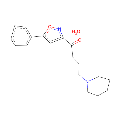 O.O=C(CCCN1CCCCC1)c1cc(-c2ccccc2)on1